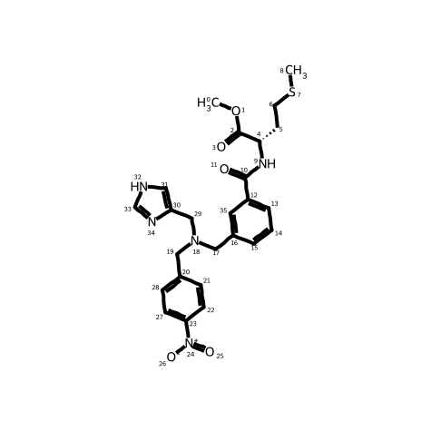 COC(=O)[C@H](CCSC)NC(=O)c1cccc(CN(Cc2ccc([N+](=O)[O-])cc2)Cc2c[nH]cn2)c1